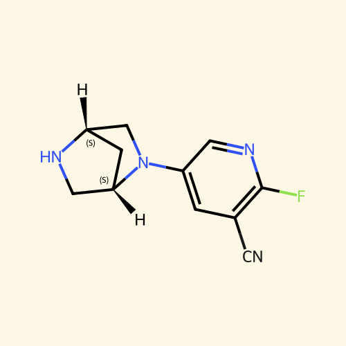 N#Cc1cc(N2C[C@@H]3C[C@H]2CN3)cnc1F